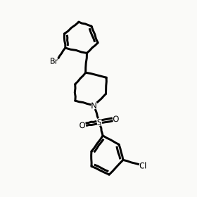 O=S(=O)(c1cccc(Cl)c1)N1CCC(C2C=CCC=C2Br)CC1